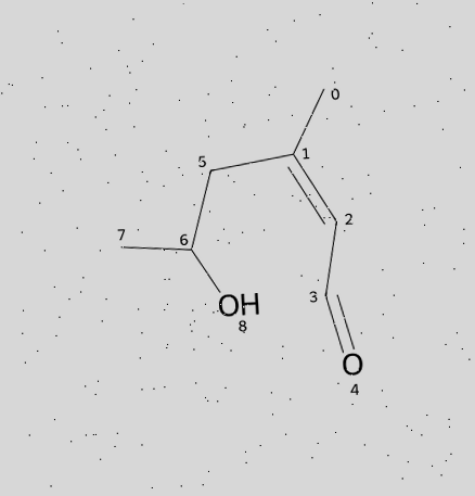 CC(=CC=O)CC(C)O